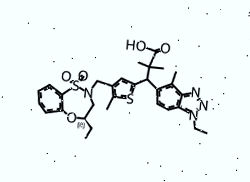 CC[C@@H]1CN(Cc2cc(C(c3ccc4c(nnn4CC)c3C)C(C)(C)C(=O)O)sc2C)S(=O)(=O)c2ccccc2O1